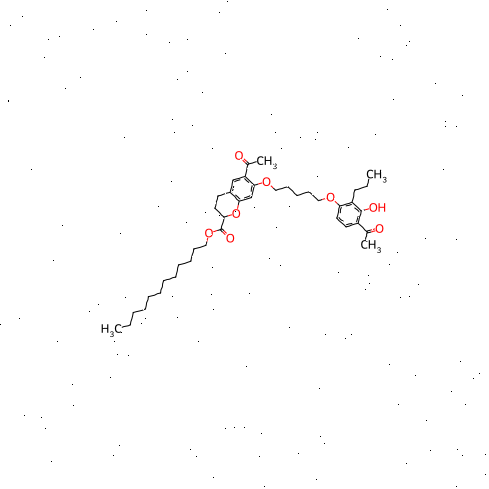 CCCCCCCCCCCCOC(=O)C1CCc2cc(C(C)=O)c(OCCCCCOc3ccc(C(C)=O)c(O)c3CCC)cc2O1